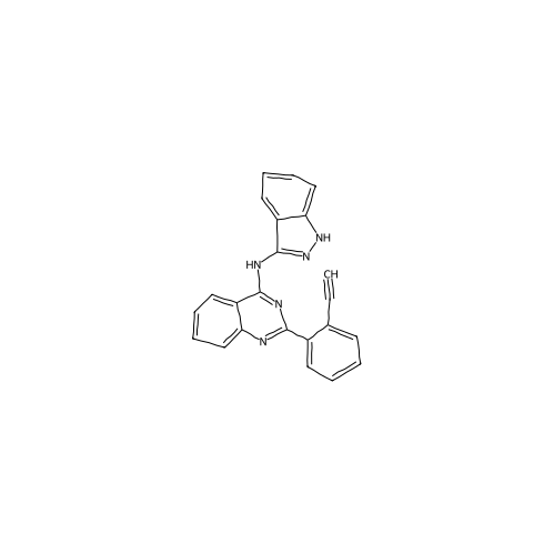 C#Cc1ccccc1-c1nc(Nc2n[nH]c3ccccc23)c2ccccc2n1